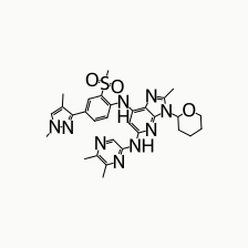 Cc1cn(C)nc1-c1ccc(Nc2cc(Nc3cnc(C)c(C)n3)nc3c2nc(C)n3C2CCCCO2)c(S(C)(=O)=O)c1